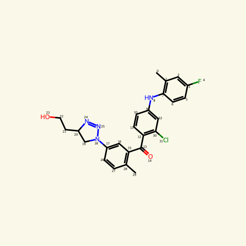 Cc1cc(F)ccc1Nc1ccc(C(=O)c2cc(N3CC(CCO)N=N3)ccc2C)c(Cl)c1